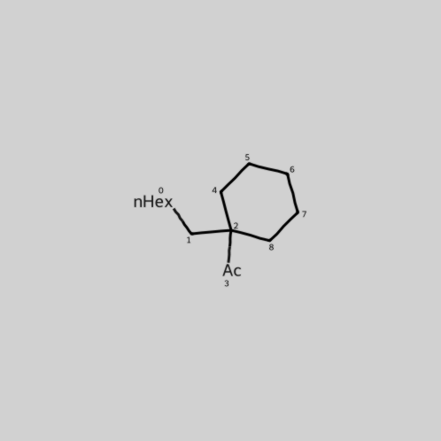 CCCCCCCC1(C(C)=O)CCCCC1